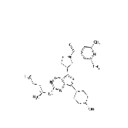 CCC[C@H](C)Nc1ncc2c(C3CCN(C(=O)c4cc(C)nc(C)c4)C3)cn(C3CCC(O)CC3)c2n1